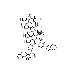 Bc1c(B)c(B)c(-c2c(B)c(B)c(-c3c(B)c(B)c(N(c4ccc(-c5ccc6ccccc6c5)cc4)c4cccc(-c5cccc6oc7c8ccccc8ccc7c56)c4)c(B)c3B)c(B)c2B)c(B)c1B